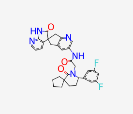 O=C(CN1C(=O)C2(CCCC2)CCC1c1cc(F)cc(F)c1)Nc1cnc2c(c1)CC1(C2)C(=O)Nc2ncccc21